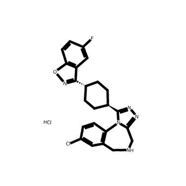 Cl.Fc1ccc2onc([C@H]3CC[C@H](c4nnc5n4-c4ccc(Cl)cc4CNC5)CC3)c2c1